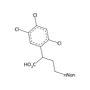 CCCCCCCCCCCC(C(=O)O)c1cc(Cl)c(Cl)cc1Cl